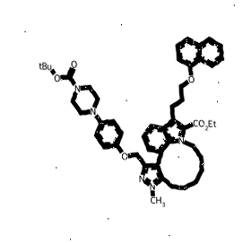 CCOC(=O)c1c(CCCOc2cccc3ccccc23)c2cccc3c2n1CCCCCCc1c-3c(COc2ccc(N3CCN(C(=O)OC(C)(C)C)CC3)cc2)nn1C